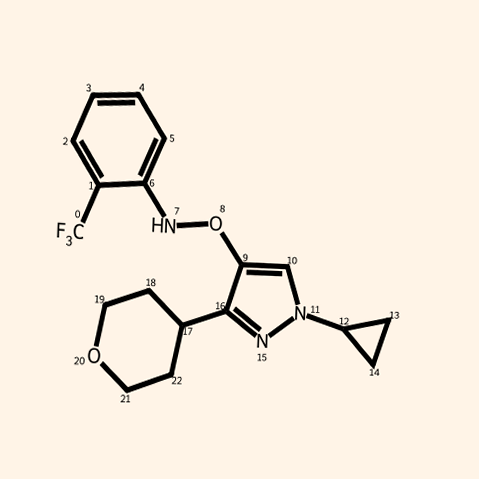 FC(F)(F)c1ccccc1NOc1cn(C2CC2)nc1C1CCOCC1